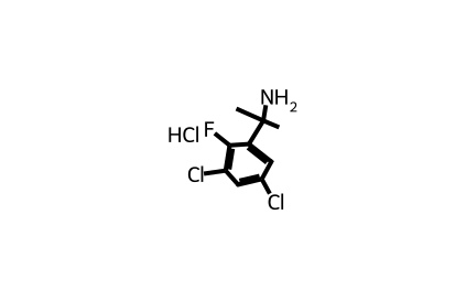 CC(C)(N)c1cc(Cl)cc(Cl)c1F.Cl